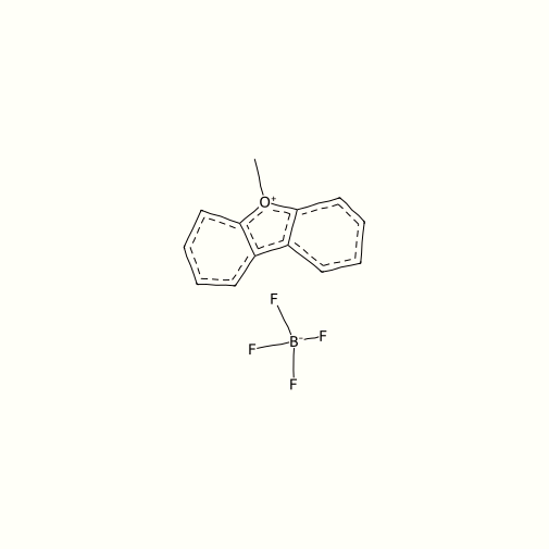 C[o+]1c2ccccc2c2ccccc21.F[B-](F)(F)F